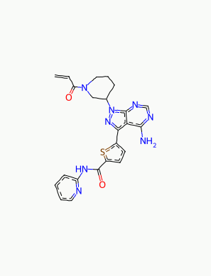 C=CC(=O)N1CCCC(n2nc(-c3ccc(C(=O)Nc4ccccn4)s3)c3c(N)ncnc32)C1